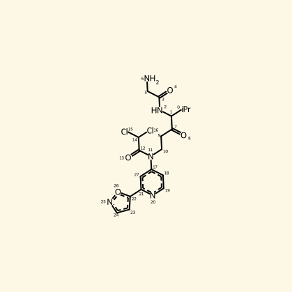 CC(C)C(NC(=O)CN)C(=O)CCN(C(=O)C(Cl)Cl)c1ccnc(-c2ccno2)c1